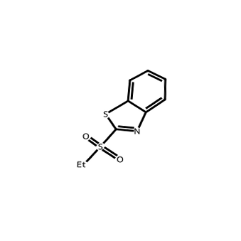 CCS(=O)(=O)c1nc2ccccc2s1